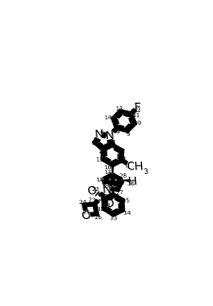 Cc1cc2c(cnn2-c2ccc(F)cc2)cc1[C@@]12C3N(S(=O)(=O)C4COC4)C[C@@H]1[C@@]32c1ccccc1